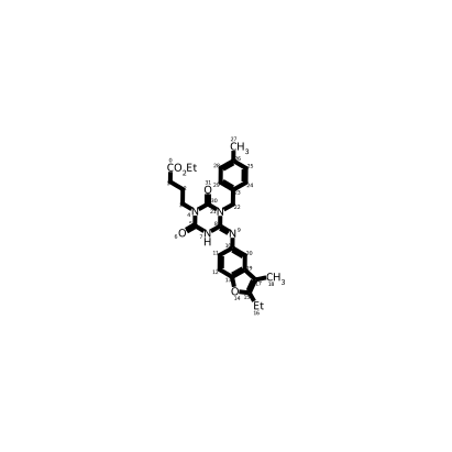 CCOC(=O)CCCn1c(=O)[nH]/c(=N\c2ccc3oc(CC)c(C)c3c2)n(Cc2ccc(C)cc2)c1=O